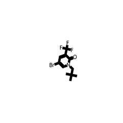 CC(C)(C)Cn1cc(Br)cc(C(F)(F)F)c1=O